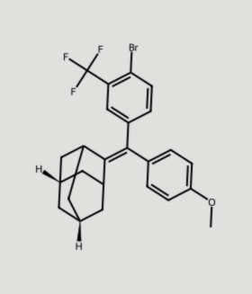 COc1ccc(C(=C2C3C[C@H]4CC2C[C@H](C3)C4)c2ccc(Br)c(C(F)(F)F)c2)cc1